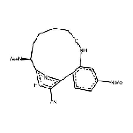 CNc1ccc2c(c1)NCCCCC[C@H](NC)c1nc-2c(C#N)[nH]1